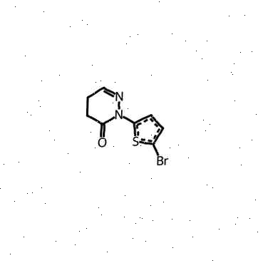 O=C1CCC=NN1c1ccc(Br)s1